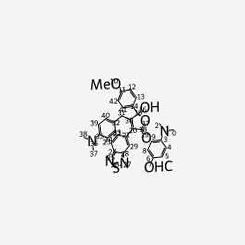 CN(C)c1ccc(C=O)cc1.COc1ccc(C2(O)OC(=O)C(c3ccc4nsnc4c3)=C2Cc2ccc(N(C)C)cc2)cc1